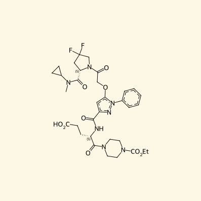 CCOC(=O)N1CCN(C(=O)[C@H](CCC(=O)O)NC(=O)c2cc(OCC(=O)N3CC(F)(F)C[C@H]3C(=O)N(C)C3CC3)n(-c3ccccc3)n2)CC1